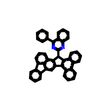 c1ccc(-c2nc(C3c4c(cc5c6c(cccc46)-c4ccccc4-5)-c4c3c3ccccc3c3ccccc43)nc3ccccc23)cc1